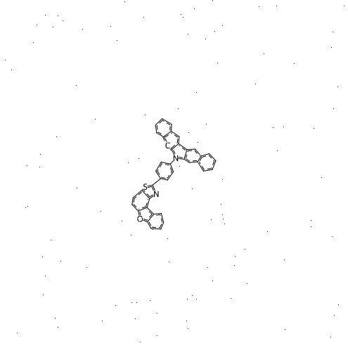 c1ccc2cc3c(cc2c1)c1cc2ccccc2cc1n3-c1ccc(-c2nc3c(ccc4oc5ccccc5c43)s2)cc1